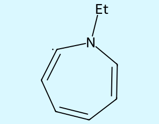 CCN1[C]=CC=CC=C1